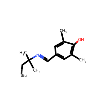 Cc1cc(C=NC(C)(C)CC(C)(C)C)cc(C)c1O